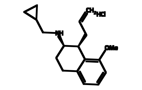 C=CC[C@H]1c2c(cccc2OC)CC[C@H]1NCC1CC1.Cl